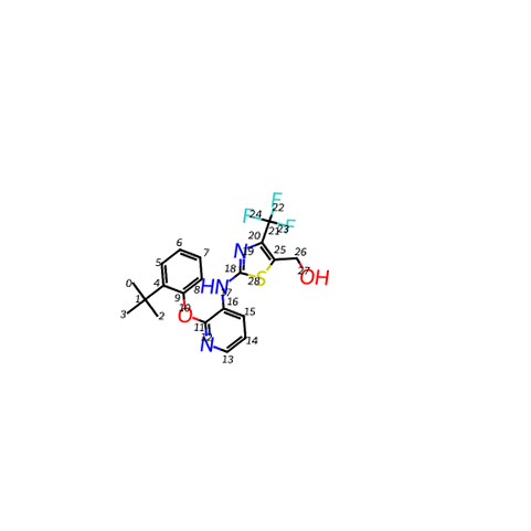 CC(C)(C)c1ccccc1Oc1ncccc1Nc1nc(C(F)(F)F)c(CO)s1